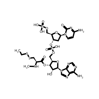 CCSSC[C@H](NC)C(=O)O[C@H]1[C@@H](O)[C@H](n2cnc3c(N)ncnc32)O[C@@H]1COP(=O)(O)O[C@H]1C[C@H](n2ccc(N)nc2=O)O[C@@H]1COP(=O)(O)O